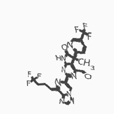 CC1(c2ccc(C(F)(F)F)cn2)C(=O)Nc2nc(-c3cn4ncnc4c(CCCC(F)(F)F)n3)nc(C=O)c21